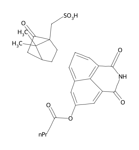 CC1(C)C2CCC1(CS(=O)(=O)O)C(=O)C2.CCCC(=O)Oc1cc2c3c(cccc3c1)C(=O)NC2=O